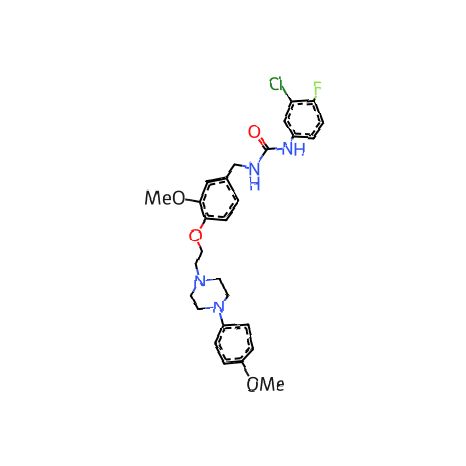 COc1ccc(N2CCN(CCOc3ccc(CNC(=O)Nc4ccc(F)c(Cl)c4)cc3OC)CC2)cc1